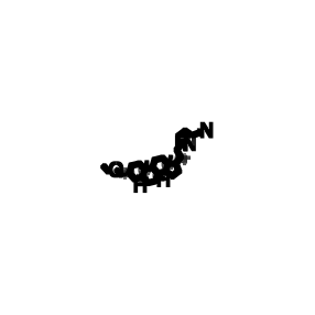 CCOC[C@H]1CC[C@]2(C)C3CC[C@@]4(C)C(CCC4[C@@H](C)Cn4ccc(C#N)n4)[C@@H]3CC[C@@H]2C1